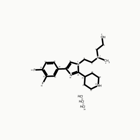 CN(CCO)CCn1cc(-c2ccc(F)c(F)c2)nc1C1CCNCC1.Cl.Cl.Cl